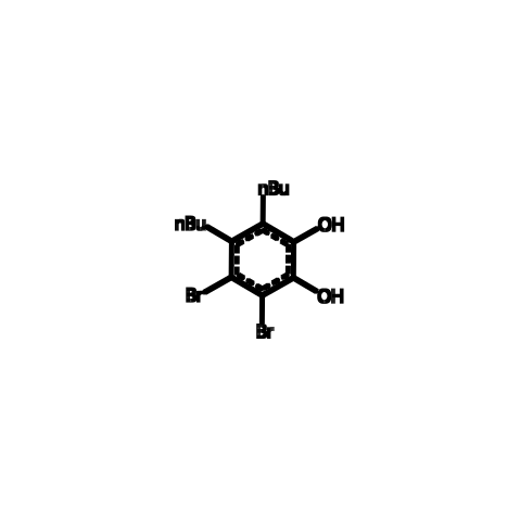 CCCCc1c(O)c(O)c(Br)c(Br)c1CCCC